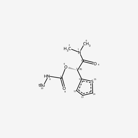 CN(C)C(=O)[C@@H](OC(=O)NC(C)(C)C)c1cccs1